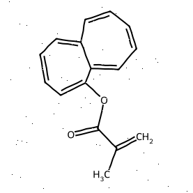 C=C(C)C(=O)OC1=CC=CC=C2C=CC=CC=C21